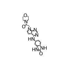 O=C(Cn1ccc2c(Nc3ccc4[nH]c(=O)[nH]c4c3)ncnc21)N1CCOCC1